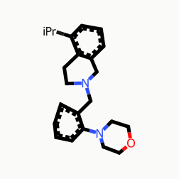 CC(C)c1cccc2c1CCN(Cc1ccccc1N1CCOCC1)C2